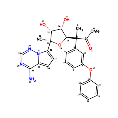 COC(=O)C(C)(c1cccc(Oc2ccccc2)c1)[C@H]1O[C@@](C#N)(c2ccc3c(N)ncnn23)[C@H](O)[C@@H]1O